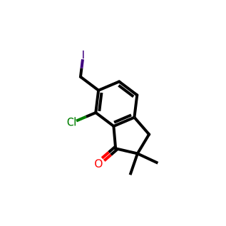 CC1(C)Cc2ccc(CI)c(Cl)c2C1=O